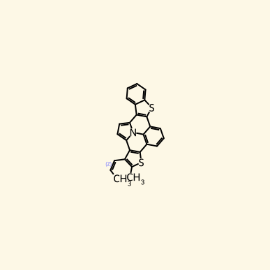 C/C=C\c1c(C)sc2c3cccc4c5sc6ccccc6c5c5ccc(c12)n5c34